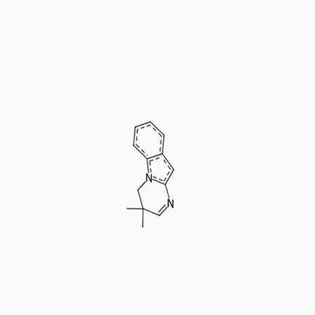 CC1(C)C=Nc2cc3ccccc3n2C1